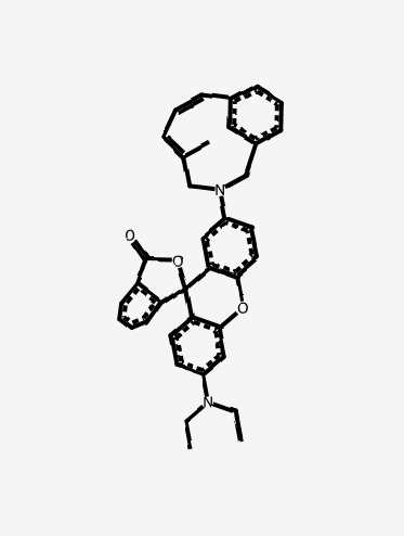 CCN(CC)c1ccc2c(c1)Oc1ccc(N3C/C(C)=C/C=C\c4cccc(c4)C3)cc1C21OC(=O)c2ccccc21